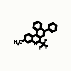 Cc1ccc2c(c1)nc(C(F)(F)F)c1cc(-c3ccccc3)c3ccccc3c12